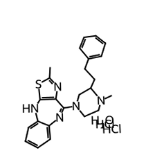 Cc1nc2c(s1)Nc1ccccc1N=C2N1CCN(C)C(CCc2ccccc2)C1.Cl.Cl.O